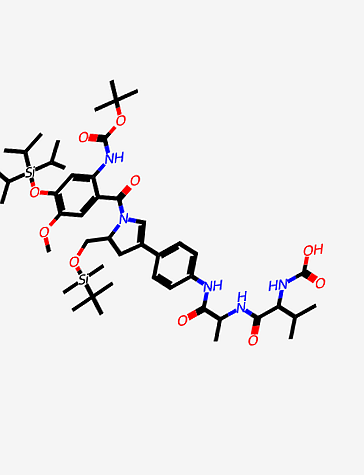 COc1cc(C(=O)N2C=C(c3ccc(NC(=O)C(C)NC(=O)C(NC(=O)O)C(C)C)cc3)CC2CO[Si](C)(C)C(C)(C)C)c(NC(=O)OC(C)(C)C)cc1O[Si](C(C)C)(C(C)C)C(C)C